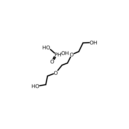 O=[PH](O)O.OCCOCCOCCO